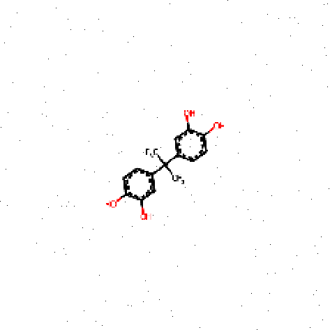 Oc1ccc(C(c2ccc(O)c(O)c2)(C(F)(F)F)C(F)(F)F)cc1O